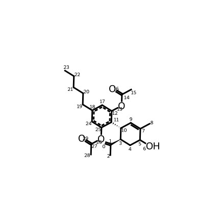 C=C(C)[C@@H]1CC(O)C(C)=C[C@H]1c1c(OC(C)=O)cc(CCCCC)cc1OC(C)=O